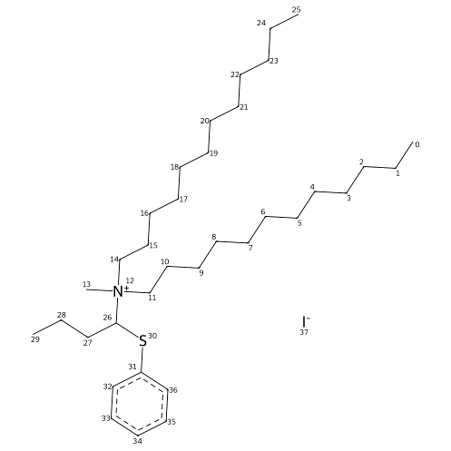 CCCCCCCCCCCC[N+](C)(CCCCCCCCCCCC)C(CCC)Sc1ccccc1.[I-]